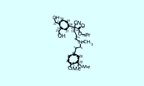 COc1ccc(CCN(C)CCCC(C#N)(C(=O)OC(C)C)c2ccc(CO)c(CO)c2)cc1OC